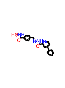 O=C(NO)c1ccc(C=NNC(=O)c2cc(-c3ccccc3)ccn2)cc1